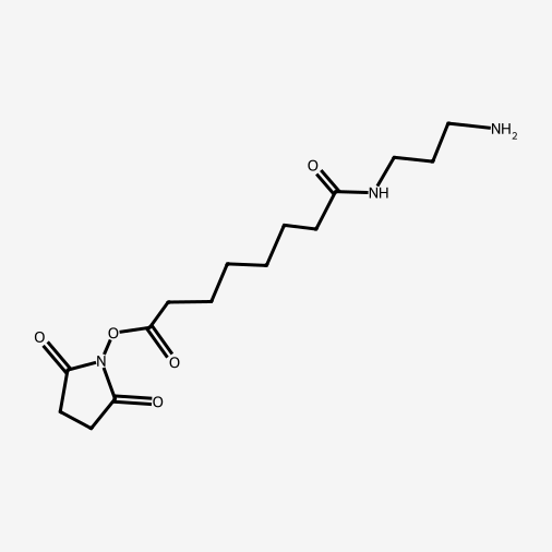 NCCCNC(=O)CCCCCCC(=O)ON1C(=O)CCC1=O